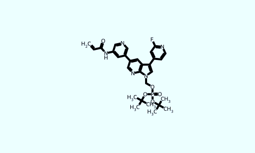 C=CC(=O)Nc1cncc(-c2cnc3c(c2)c(-c2ccnc(F)c2)cn3COP(=O)(OC(C)(C)C)OC(C)(C)C)c1